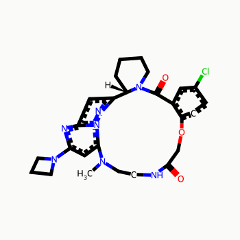 CN1CCNC(=O)COc2ccc(Cl)cc2C(=O)N2CCCC[C@H]2c2cc3nc(N4CCC4)cc1n3n2